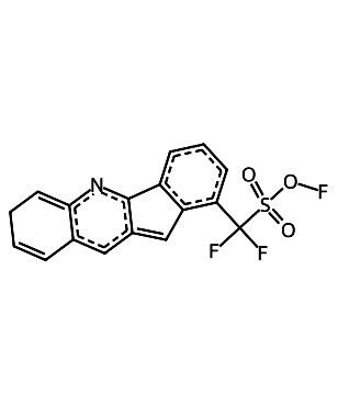 O=S(=O)(OF)C(F)(F)c1cccc2c1C=c1cc3c(nc1-2)=CCC=C3